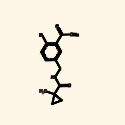 COC(=O)c1cc(CNC(=O)C2(C)CC2)ccc1Cl